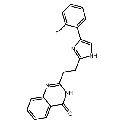 O=c1[nH]c(CCc2nc(-c3ccccc3F)c[nH]2)nc2ccccc12